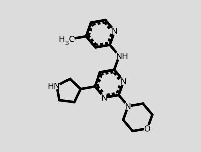 Cc1ccnc(Nc2cc(C3CCNC3)nc(N3CCOCC3)n2)c1